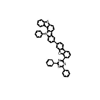 C1=CCC(c2nc(-c3ccccc3)nc(-c3cccc4c3oc3cc(-c5ccc6c(c5)c5ccc7sc8ccccc8c7c5n6-c5ccccc5)ccc34)n2)C=C1